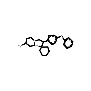 NC1CCN(CC(c2ccc(Oc3ccccc3)cc2)C2(O)CCCCC2)CC1